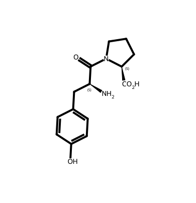 N[C@@H](Cc1ccc(O)cc1)C(=O)N1CCC[C@H]1C(=O)O